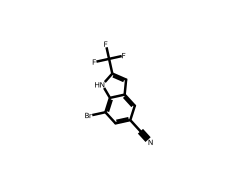 N#Cc1cc(Br)c2[nH]c(C(F)(F)F)cc2c1